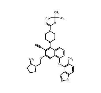 Cc1ccc2[nH]ncc2c1Oc1cccc2c(N3CCN(C(=O)OC(C)(C)C)CC3)c(C#N)c(OCC3CCCN3C)nc12